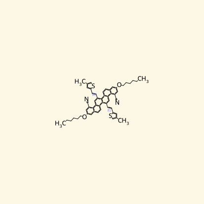 CCCCCCOc1cc(C#N)c2c(ccc3c2cc(/C=C/c2cc(C)cs2)c2c4ccc5cc(OCCCCCC)cc(C#N)c5c4cc(/C=C/c4cc(C)cs4)c32)c1